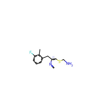 C=N/C(=C\SCN)Cc1cccc(F)c1C